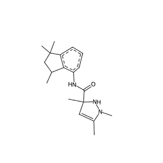 CC1=CC(C)(C(=O)Nc2cccc3c2C(C)CC3(C)C)NN1C